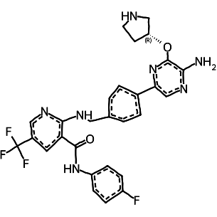 Nc1ncc(-c2ccc(CNc3ncc(C(F)(F)F)cc3C(=O)Nc3ccc(F)cc3)cc2)nc1O[C@@H]1CCNC1